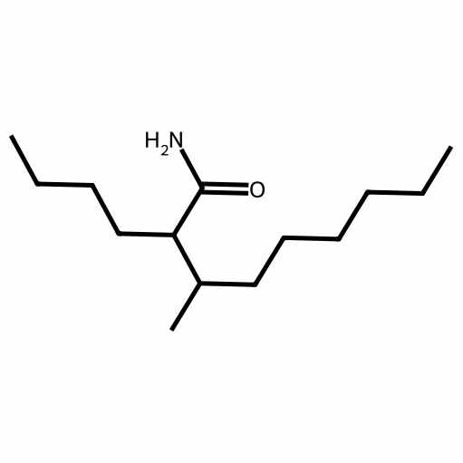 CCCCCCC(C)C(CCCC)C(N)=O